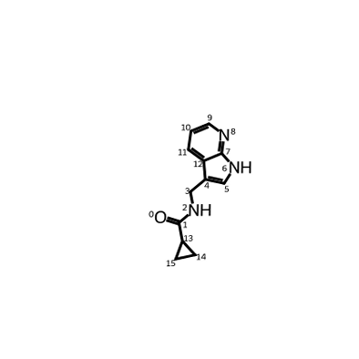 O=C(NCc1c[nH]c2ncccc12)C1CC1